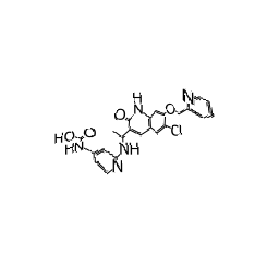 CC(Nc1cc(NC(=O)O)ccn1)c1cc2cc(Cl)c(OCc3ccccn3)cc2[nH]c1=O